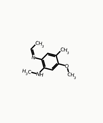 C/C=N\c1cc(C)c(OC)cc1NC